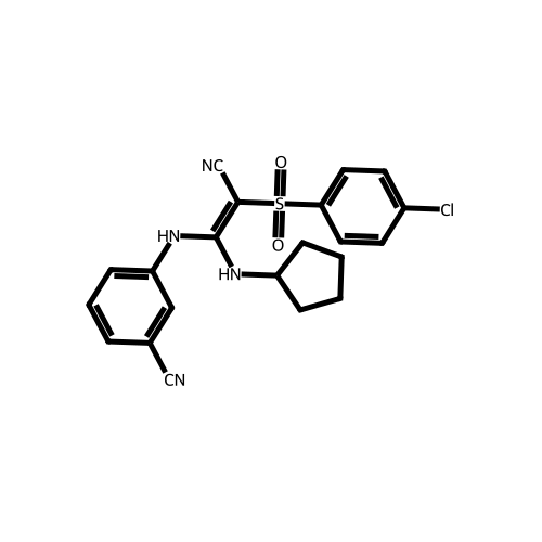 N#C/C(=C(\Nc1cccc(C#N)c1)NC1CCCC1)S(=O)(=O)c1ccc(Cl)cc1